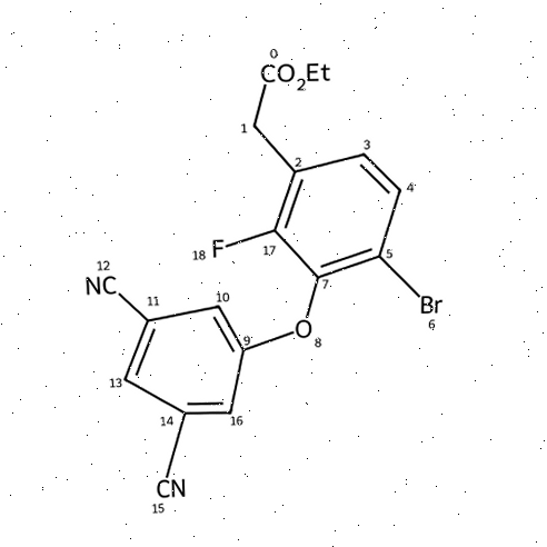 CCOC(=O)Cc1ccc(Br)c(Oc2cc(C#N)cc(C#N)c2)c1F